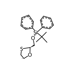 CC(C)(C)[Si](OC[C@H]1O[CH]CS1)(c1ccccc1)c1ccccc1